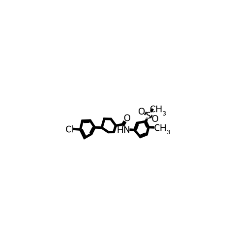 Cc1ccc(NC(=O)C2CCC(c3ccc(Cl)cc3)CC2)cc1S(C)(=O)=O